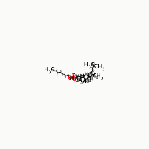 CCCCCCCCCOC(=O)OC1CC[C@@]2(C)C(=CC[C@H]3[C@@H]4CC[C@H]([C@H](C)CCCC(C)C)[C@@]4(C)CC[C@@H]32)C1